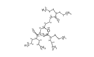 CCCC(CCC)C(=O)OCCC(COC(=O)C(CCC)CCC)OC(=O)C(CCC)CCC